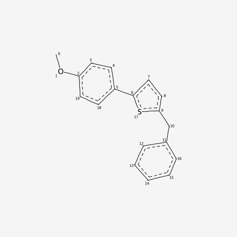 COc1ccc(-c2ccc(Cc3ccccc3)s2)cc1